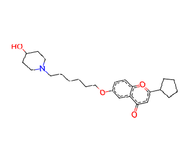 O=c1cc(C2CCCC2)oc2ccc(OCCCCCCN3CCC(O)CC3)cc12